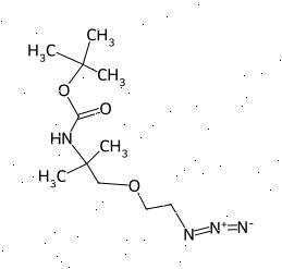 CC(C)(COCCN=[N+]=[N-])NC(=O)OC(C)(C)C